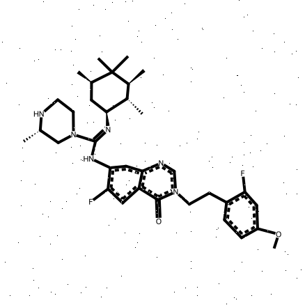 COc1ccc(CCn2cnc3cc(NC(=N[C@H]4C[C@@H](C)C(C)(C)[C@@H](C)[C@@H]4C)N4CCN[C@@H](C)C4)c(F)cc3c2=O)c(F)c1